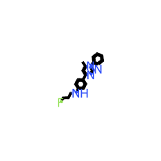 Cc1cc(-c2ccc(NCCCF)cc2)nc2nc3ccccc3n12